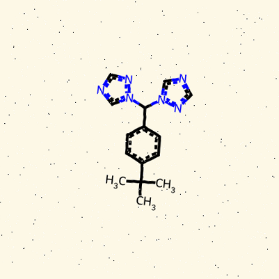 CC(C)(C)c1ccc(C(n2cncn2)n2cncn2)cc1